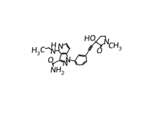 CCNc1nccc2c1c(C(N)=O)nn2-c1cccc(C#CC2(O)CCN(C)C2=O)c1